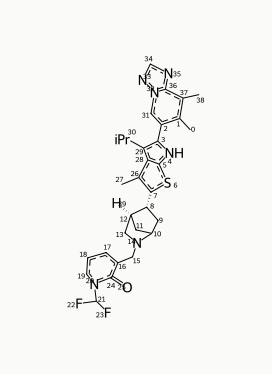 Cc1c(-c2[nH]c3sc([C@@H]4CC5C[C@H]4CN5Cc4cccn(C(F)F)c4=O)c(C)c3c2C(C)C)cn2ncnc2c1C